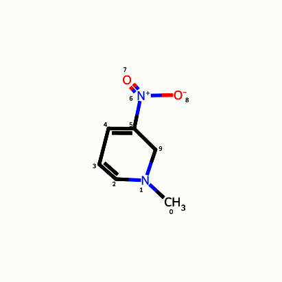 CN1C=CC=C([N+](=O)[O-])C1